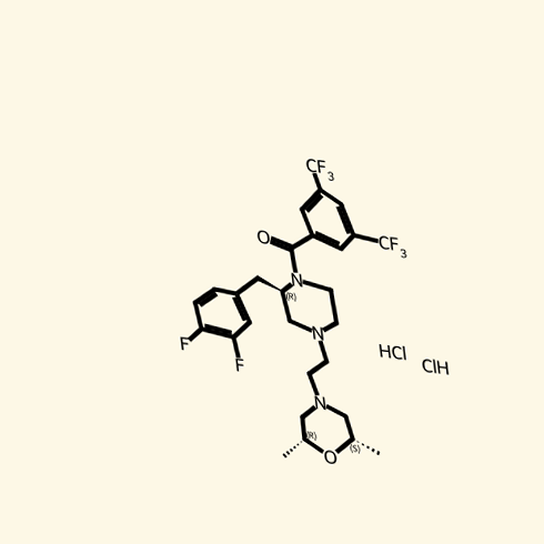 C[C@@H]1CN(CCN2CCN(C(=O)c3cc(C(F)(F)F)cc(C(F)(F)F)c3)[C@H](Cc3ccc(F)c(F)c3)C2)C[C@H](C)O1.Cl.Cl